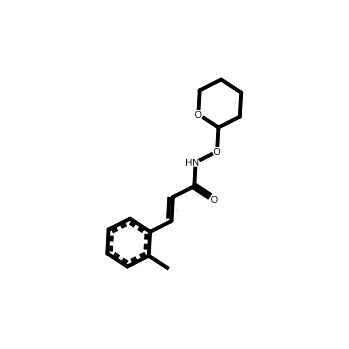 Cc1ccccc1/C=C/C(=O)NOC1CCCCO1